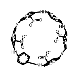 O=[N+]([O-])c1cc2ccc1Nc1ccc(cc1)Nc1ccc(cc1[N+](=O)[O-])Sc1ccc(c([N+](=O)[O-])c1)Nc1ccc(cc1)Nc1ccc(cc1[N+](=O)[O-])S2